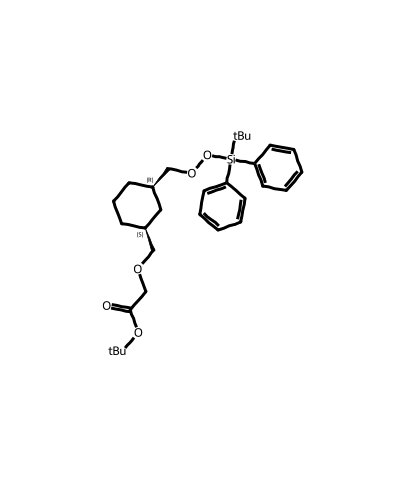 CC(C)(C)OC(=O)COC[C@H]1CCC[C@@H](COO[Si](c2ccccc2)(c2ccccc2)C(C)(C)C)C1